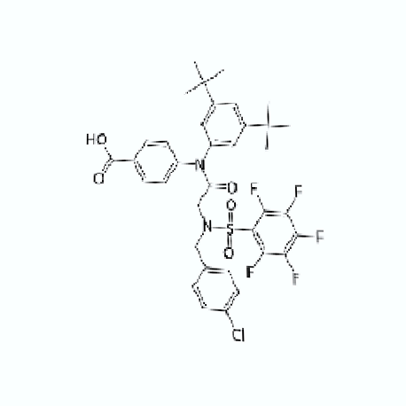 CC(C)(C)c1cc(N(C(=O)CN(Cc2ccc(Cl)cc2)S(=O)(=O)c2c(F)c(F)c(F)c(F)c2F)c2ccc(C(=O)O)cc2)cc(C(C)(C)C)c1